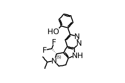 CC(C)N1CCc2[nH]c3nnc(-c4ccccc4O)cc3c2[C@H]1C(F)F